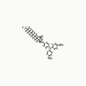 CC(C)(C)c1ccc([S+](c2ccc(C(C)(C)C)cc2)c2ccc(C(C)(C)C)cc2)cc1.O=S(=O)([O-])C(F)(F)C(F)(F)C(F)(F)C(F)(F)C(F)(F)C(F)(F)C(F)(F)C(F)(F)F